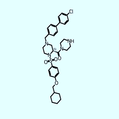 O=C([C@@H]1CN(Cc2ccc(-c3ccc(Cl)cc3)cc2)CCN1S(=O)(=O)c1ccc(OCC2CCCCC2)cc1)N1CCNCC1